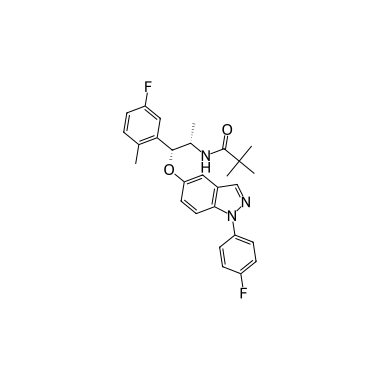 Cc1ccc(F)cc1[C@@H](Oc1ccc2c(cnn2-c2ccc(F)cc2)c1)[C@H](C)NC(=O)C(C)(C)C